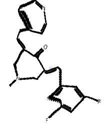 CN1CC(=Cc2ccncc2)C(=O)/C(=C/c2cc(F)cc(F)c2)C1